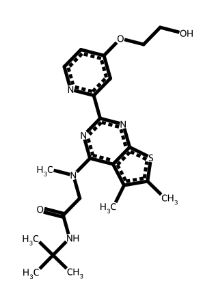 Cc1sc2nc(-c3cc(OCCO)ccn3)nc(N(C)CC(=O)NC(C)(C)C)c2c1C